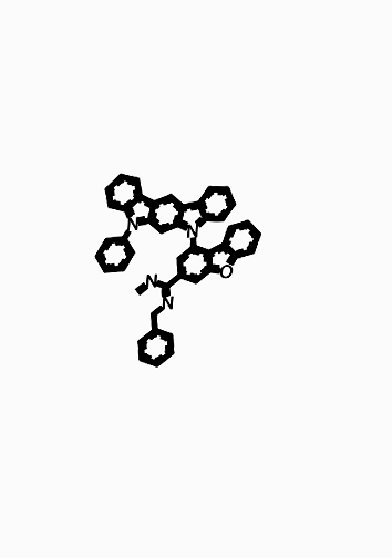 C=N/C(=N\Cc1ccccc1)c1cc(-n2c3ccccc3c3cc4c5ccccc5n(-c5ccccc5)c4cc32)c2c(c1)oc1ccccc12